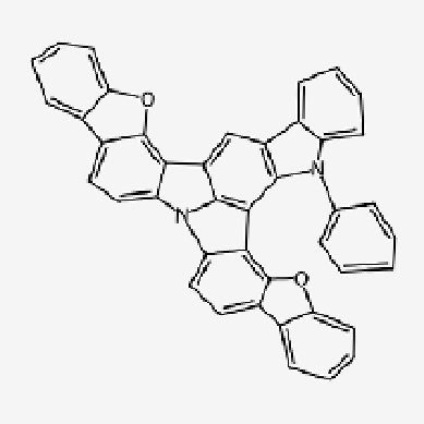 c1ccc(-n2c3ccccc3c3cc4c5c6oc7ccccc7c6ccc5n5c6ccc7c8ccccc8oc7c6c(c32)c45)cc1